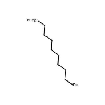 [CH2]CCCCCCCCCCCCCCC(C)C[CH2]